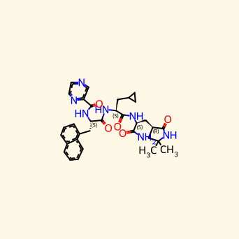 CC1(C)C[C@@H](C[C@H](NC(=O)[C@H](CC2CC2)NC(=O)[C@H](Cc2cccc3ccccc23)NC(=O)c2cnccn2)C(N)=O)C(=O)N1